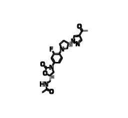 CC(=O)NC[C@H]1CN(c2ccc(N3CC[C@H](n4cc(C(C)=O)cn4)C3)c(F)c2)C(=O)O1